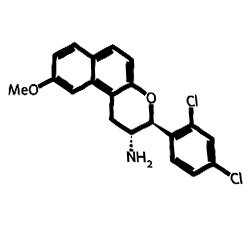 COc1ccc2ccc3c(c2c1)C[C@@H](N)[C@H](c1ccc(Cl)cc1Cl)O3